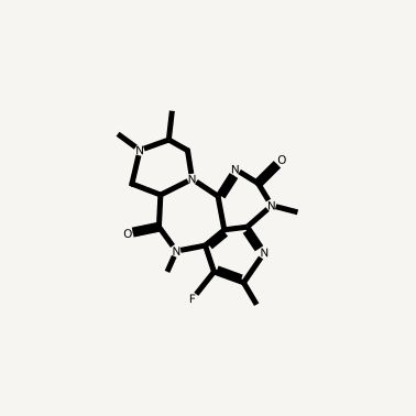 Cc1nc2c3c(nc(=O)n2C)N2CC(C)N(C)CC2C(=O)N(C)c3c1F